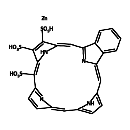 O=S(=O)(O)c1c(S(=O)(=O)O)c2[nH]c1cc1nc(cc3ccc(cc4nc(c2S(=O)(=O)O)C=C4)[nH]3)-c2ccccc2-1.[Zn]